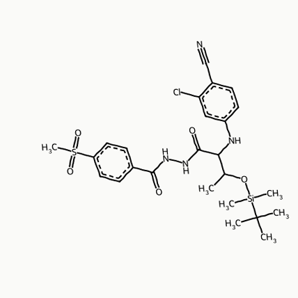 CC(O[Si](C)(C)C(C)(C)C)C(Nc1ccc(C#N)c(Cl)c1)C(=O)NNC(=O)c1ccc(S(C)(=O)=O)cc1